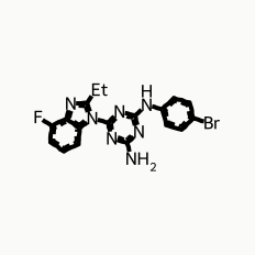 CCc1nc2c(F)cccc2n1-c1nc(N)nc(Nc2ccc(Br)cc2)n1